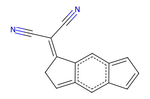 N#CC(C#N)=C1CC=c2cc3c(cc21)=CC=C3